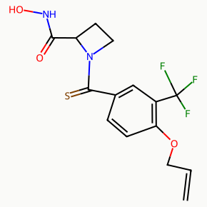 C=CCOc1ccc(C(=S)N2CCC2C(=O)NO)cc1C(F)(F)F